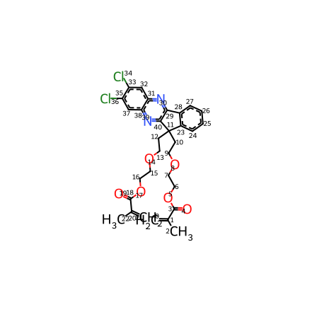 C=C(C)C(=O)OCCOCCC1(CCOCCOC(=O)C(=C)C)c2ccccc2-c2nc3cc(Cl)c(Cl)cc3nc21